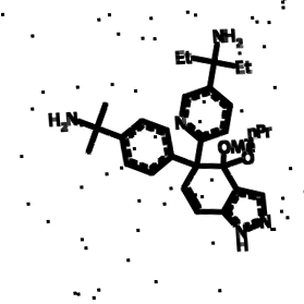 CCCOC1(OC)c2cn[nH]c2C=CC1(c1ccc(C(C)(C)N)cc1)c1ccc(C(N)(CC)CC)cn1